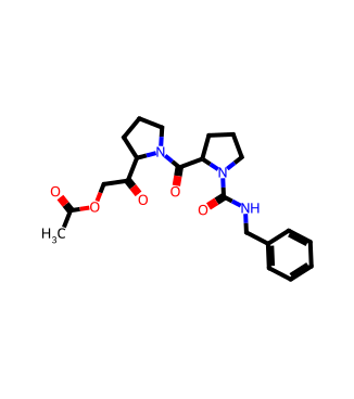 CC(=O)OCC(=O)C1CCCN1C(=O)C1CCCN1C(=O)NCc1ccccc1